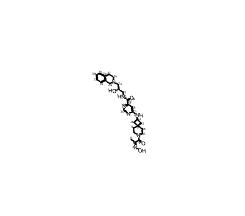 C/C(=N/O)C(=O)N1CCC2(CC1)CC(Nc1cc(C(=O)NC[C@H](O)CN3CCc4ccccc4C3)ncn1)C2